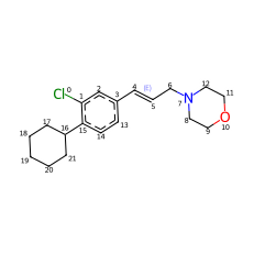 Clc1cc(/C=C/CN2CCOCC2)ccc1C1CCCCC1